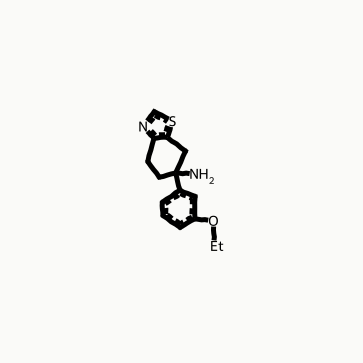 CCOc1cccc(C2(N)CCc3ncsc3C2)c1